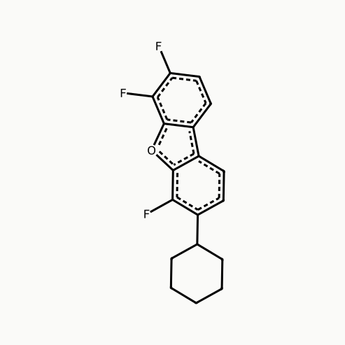 Fc1ccc2c(oc3c(F)c(C4CCCCC4)ccc32)c1F